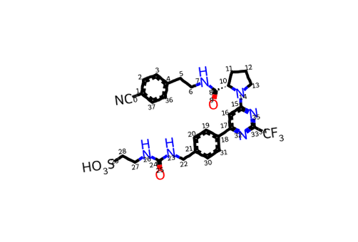 N#Cc1ccc(CCNC(=O)[C@@H]2CCCN2c2cc(-c3ccc(CNC(=O)NCCS(=O)(=O)O)cc3)nc(C(F)(F)F)n2)cc1